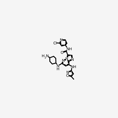 Cc1cc(Nc2cc(NC3CCC(N)CC3)nn3c(C(=O)Nc4ccnc(Cl)c4)cnc23)no1